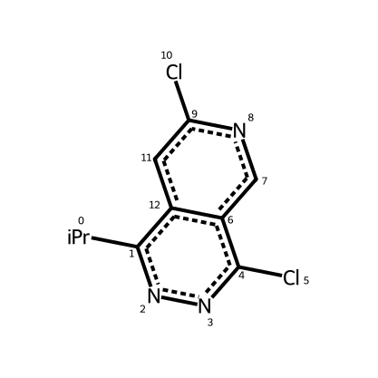 CC(C)c1nnc(Cl)c2cnc(Cl)cc12